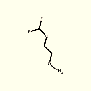 COCCOC(F)F